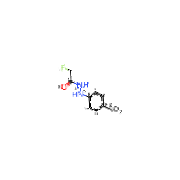 O=C(CF)NNc1ccc([N+](=O)[O-])cc1